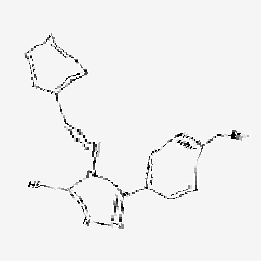 Sc1nnc(-c2ccc(Br)cc2)n1N=Cc1ccccc1